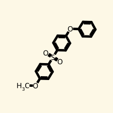 COc1ccc(S(=O)(=O)c2ccc(Oc3ccccc3)cc2)cc1